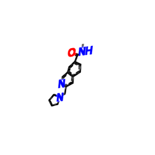 CNC(=O)c1ccc2cc(CN3CCCC3)ncc2c1